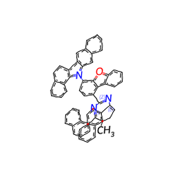 CC1C/C=C(c2ccc3ccccc3c2)/N=C(c2ccc(-n3c4cc5ccccc5cc4c4ccc5ccccc5c43)c3oc4ccccc4c23)\N=C/1c1cccc2ccccc12